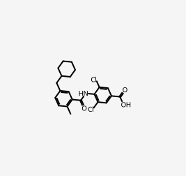 Cc1ccc(CC2CCCCC2)cc1C(=O)Nc1c(Cl)cc(C(=O)O)cc1Cl